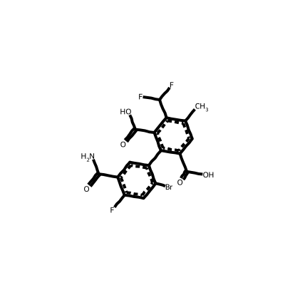 Cc1cc(C(=O)O)c(-c2cc(C(N)=O)c(F)cc2Br)c(C(=O)O)c1C(F)F